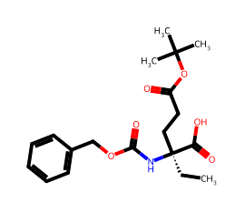 CC[C@@](CCC(=O)OC(C)(C)C)(NC(=O)OCc1ccccc1)C(=O)O